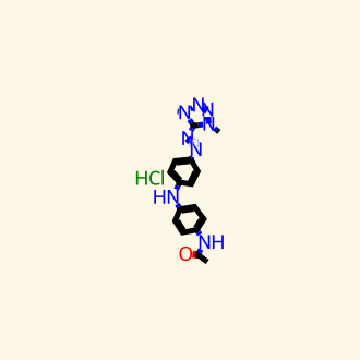 CC(=O)Nc1ccc(Nc2ccc(/N=N/C3N(C)N=NN3C)cc2)cc1.Cl